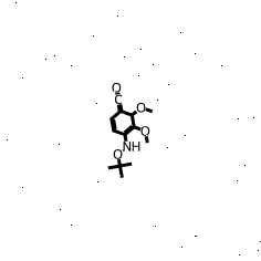 COC1=C(NOC(C)(C)C)C=CC(=C=O)C1OC